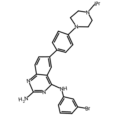 CC(C)N1CCN(c2ccc(-c3ccc4nc(N)nc(Nc5cccc(Br)c5)c4c3)cc2)CC1